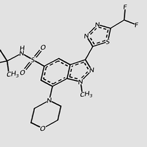 Cn1nc(-c2nnc(C(F)F)s2)c2cc(S(=O)(=O)NC3(C)CC3)cc(N3CCOCC3)c21